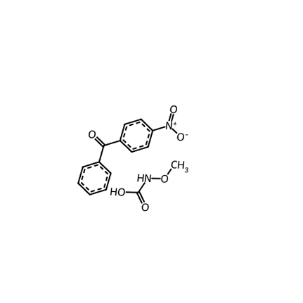 CONC(=O)O.O=C(c1ccccc1)c1ccc([N+](=O)[O-])cc1